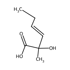 CCC=CC(C)(O)C(=O)O